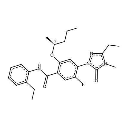 CCC[C@H](C)Oc1cc(-n2nc(CC)n(C)c2=O)c(F)cc1C(=O)Nc1ccccc1CC